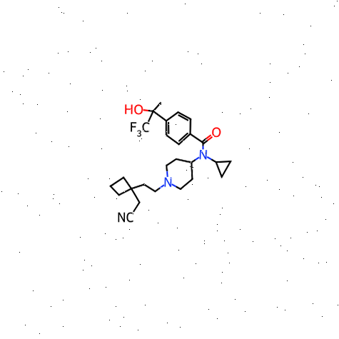 CC(O)(c1ccc(C(=O)N(C2CC2)C2CCN(CCC3(CC#N)CCC3)CC2)cc1)C(F)(F)F